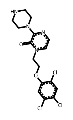 O=c1c(N2CCNCC2)nccn1CCOc1cc(Cl)c(Cl)cc1Cl